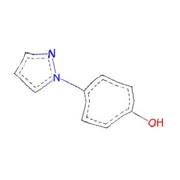 Oc1ccc(-n2cccn2)cc1